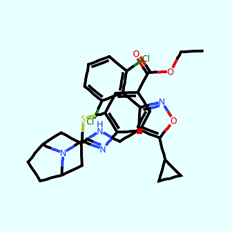 CCOC(=O)c1ccc2nc(N3C4CCC3CC(NCc3c(-c5c(Cl)cccc5Cl)noc3C3CC3)C4)sc2c1